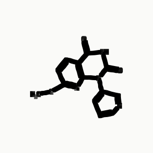 CCc1ccc2c(=O)[nH]c(=O)n(-c3cccnc3)c2n1